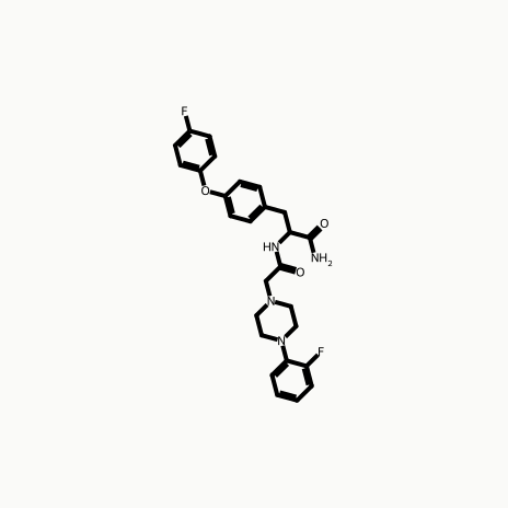 NC(=O)C(Cc1ccc(Oc2ccc(F)cc2)cc1)NC(=O)CN1CCN(c2ccccc2F)CC1